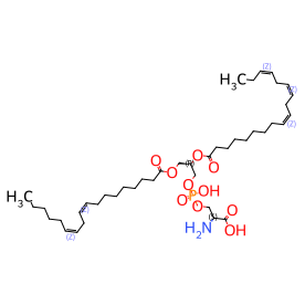 CC/C=C\C/C=C\C/C=C\CCCCCCCC(=O)O[C@H](COC(=O)CCCCCCC/C=C\C/C=C\CCCCC)COP(=O)(O)OC[C@H](N)C(=O)O